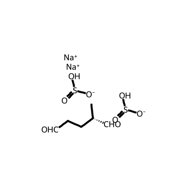 C[C@H](C=O)CCC=O.O=S([O-])O.O=S([O-])O.[Na+].[Na+]